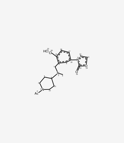 CC(=O)N1CCC(N(C)Cc2cc(-n3ncoc3=O)ccc2Cl)CC1.Cl